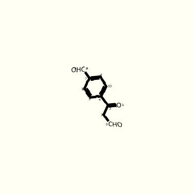 O=CCC(=O)c1ccc(C=O)cc1